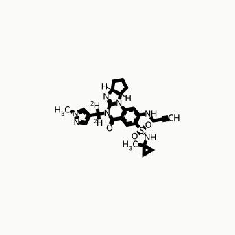 [2H]C([2H])(c1cnn(C)c1)N1C(=O)c2cc(S(=O)(=O)NC3(C)CC3)c(NCC#C)cc2N2C1=N[C@H]1CCC[C@H]12